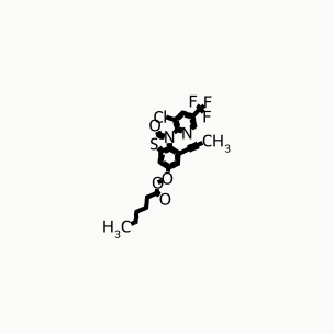 CC#Cc1cc(OOC(=O)CCCCC)cc2sc(=O)n(-c3ncc(C(F)(F)F)cc3Cl)c12